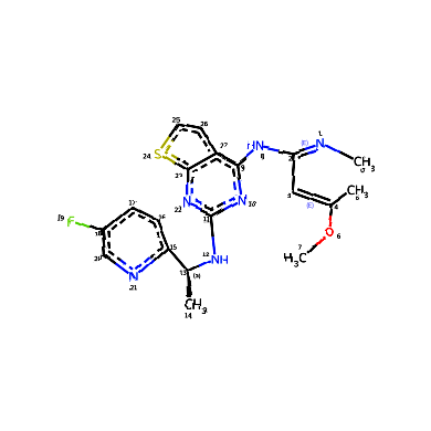 C/N=C(\C=C(/C)OC)Nc1nc(N[C@@H](C)c2ccc(F)cn2)nc2sccc12